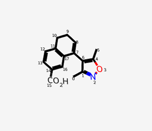 Cc1noc(C)c1C1=CCCc2ccc(C(=O)O)cc21